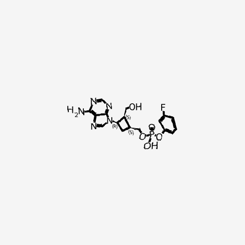 Nc1ncnc2c1ncn2[C@@H]1C[C@H](COP(=O)(O)Oc2cccc(F)c2)[C@@H]1CO